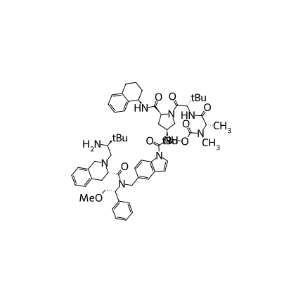 COC[C@@H](c1ccccc1)N(Cc1ccc2c(ccn2C(=O)N[C@H]2C[C@@H](C(=O)N[C@@H]3CCCc4ccccc43)N(C(=O)[C@@H](NC(=O)[C@H](C)N(C)C(=O)OC(C)(C)C)C(C)(C)C)C2)c1)C(=O)[C@@H]1Cc2ccccc2CN1C[C@@H](N)C(C)(C)C